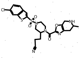 CC1Cc2nc(C(=O)N3CCN(S(=O)(=O)c4cc5ccc(Cl)cc5s4)CC3CCC#N)oc2CN1